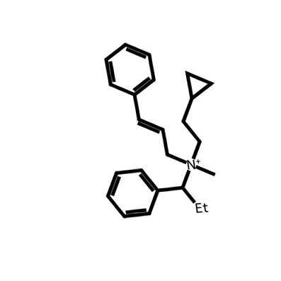 CCC(c1ccccc1)[N+](C)(CC=Cc1ccccc1)CCC1CC1